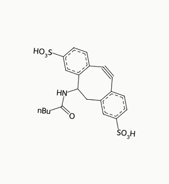 CCCCC(=O)NC1Cc2cc(S(=O)(=O)O)ccc2C#Cc2ccc(S(=O)(=O)O)cc21